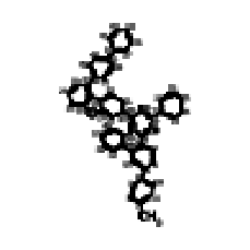 Cc1ccc(-c2ccc(-c3nc(-c4ccccc4)nc(-c4ccc5c(c4)oc4cccc(-c6ccc(-c7ccccc7)cc6)c45)n3)c(-c3ccccc3)c2)cc1